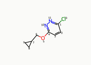 Clc1ccc(OCC2CC2)nn1